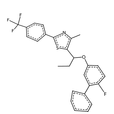 CCC(Oc1ccc(F)c(-c2ccccc2)c1)c1sc(-c2ccc(C(F)(F)F)cc2)nc1C